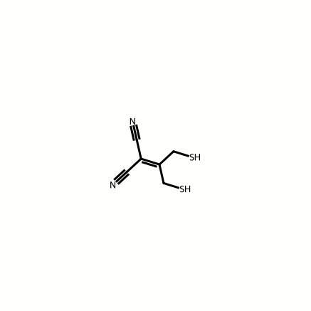 N#CC(C#N)=C(CS)CS